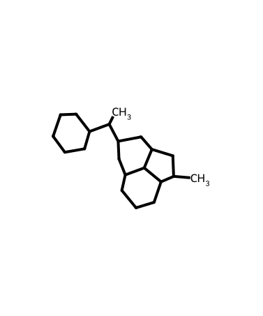 CC1CC2CC(C(C)C3CCCCC3)CC3CCCC1C32